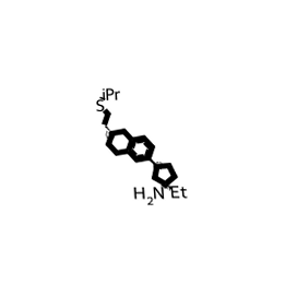 CC[C@@]1(N)CC[C@H](c2ccc3c(c2)CC[C@H](CCSC(C)C)C3)C1